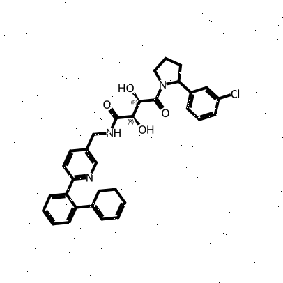 O=C(NCc1ccc(-c2ccccc2C2=CC=CCC2)nc1)[C@H](O)[C@@H](O)C(=O)N1CCCC1c1cccc(Cl)c1